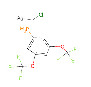 Cl[CH2][Pd].FC(F)(F)Oc1cc(P)cc(OC(F)(F)F)c1